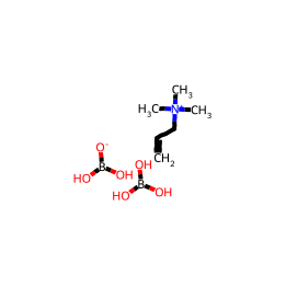 C=CC[N+](C)(C)C.OB(O)O.[O-]B(O)O